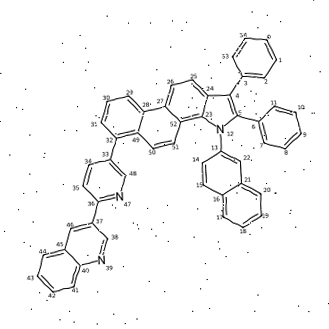 c1ccc(-c2c(-c3ccccc3)n(-c3ccc4ccccc4c3)c3c2ccc2c4cccc(-c5ccc(-c6cnc7ccccc7c6)nc5)c4ccc23)cc1